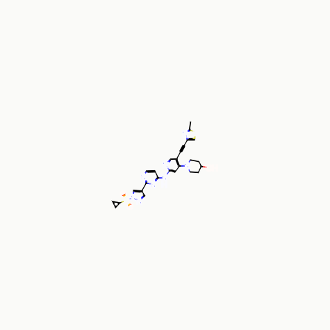 Cc1nc(C#Cc2cnc(Nc3ccnc(-c4cnn(S(=O)(=O)C5CC5)c4)n3)cc2N2CCC(O)CC2)cs1